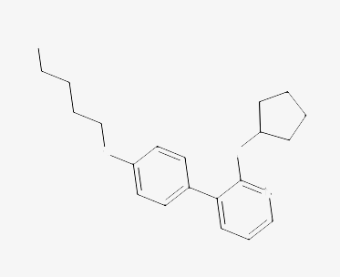 CCCCCSc1ccc(-c2cccnc2SC2CCCC2)cc1